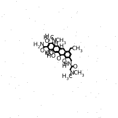 CCc1cc(CNC(=O)CN(C)C)c(O)c2c1C[C@@H]1C[C@H]3C(N(C)C)C(O)=C(C(N)=O)C(=O)[C@]3(O)C(O)=C1C2=O